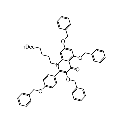 CCCCCCCCCCCCCCn1c(-c2ccc(OCc3ccccc3)cc2)c(OCc2ccccc2)c(=O)c2c(OCc3ccccc3)cc(OCc3ccccc3)cc21